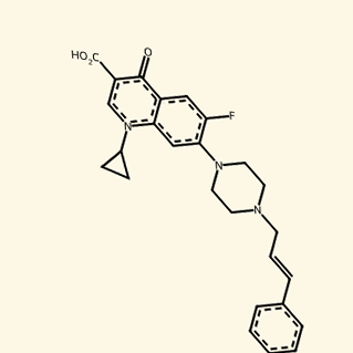 O=C(O)c1cn(C2CC2)c2cc(N3CCN(CC=Cc4ccccc4)CC3)c(F)cc2c1=O